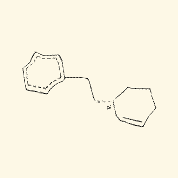 C1=C[C@H](CCc2ccccc2)CCC1